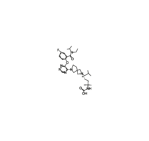 CCN(C(=O)c1cc(F)ccc1Oc1nncnc1N1CCC2(C1)CN([C@@H](CCC(C)(C)NC(=O)O)C(C)C)C2)C(C)C